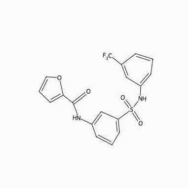 O=C(Nc1cccc(S(=O)(=O)Nc2cccc(C(F)(F)F)c2)c1)c1ccco1